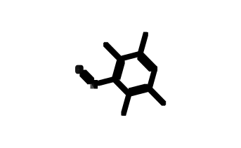 Cc1cc(C)c(C)c(N=O)c1C